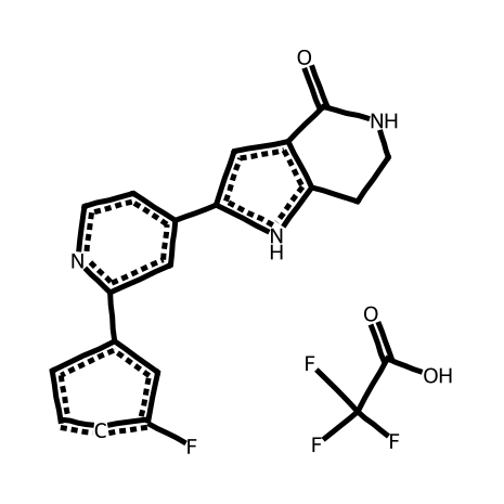 O=C(O)C(F)(F)F.O=C1NCCc2[nH]c(-c3ccnc(-c4cccc(F)c4)c3)cc21